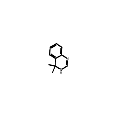 CC1(C)NC=Nc2ccccc21